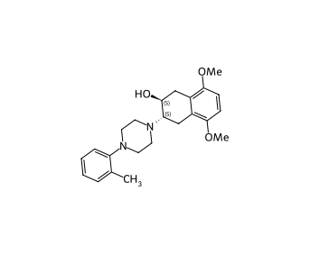 COc1ccc(OC)c2c1C[C@H](O)[C@@H](N1CCN(c3ccccc3C)CC1)C2